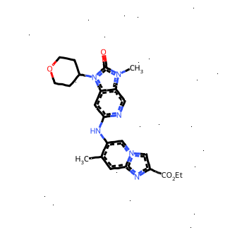 CCOC(=O)c1cn2cc(Nc3cc4c(cn3)n(C)c(=O)n4C3CCOCC3)c(C)cc2n1